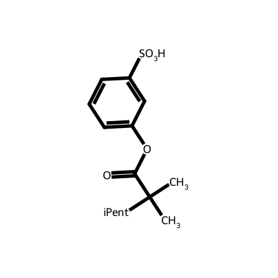 CCCC(C)C(C)(C)C(=O)Oc1cccc(S(=O)(=O)O)c1